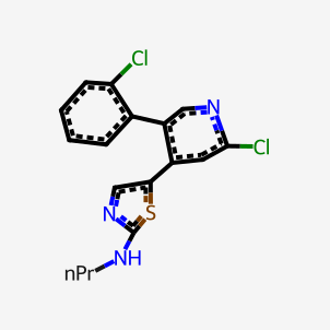 CCCNc1ncc(-c2cc(Cl)ncc2-c2ccccc2Cl)s1